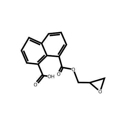 O=C(O)c1cccc2cccc(C(=O)OCC3CO3)c12